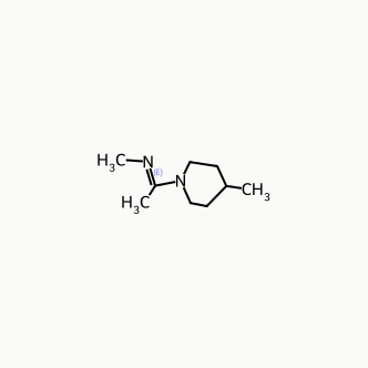 C/N=C(\C)N1CCC(C)CC1